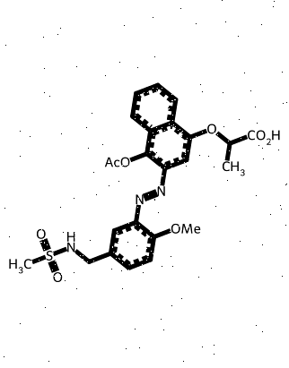 COc1ccc(CNS(C)(=O)=O)cc1N=Nc1cc(OC(C)C(=O)O)c2ccccc2c1OC(C)=O